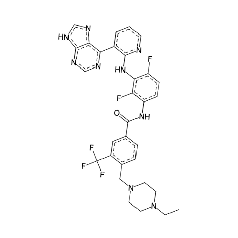 CCN1CCN(Cc2ccc(C(=O)Nc3ccc(F)c(Nc4ncccc4-c4ncnc5[nH]cnc45)c3F)cc2C(F)(F)F)CC1